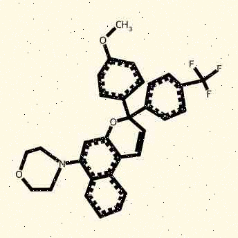 COc1ccc(C2(c3ccc(C(F)(F)F)cc3)C=Cc3c(cc(N4CCOCC4)c4ccccc34)O2)cc1